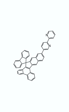 c1ccc(-c2ccc(-c3ccc4cc5c(cc4c3)C3(c4ccccc4-c4ccccc43)c3c-5c4ccccc4c4ccccc34)cn2)nc1